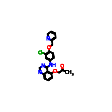 CC(=O)COc1cccc2ncnc(Nc3ccc(OCc4ccccn4)c(Cl)c3)c12